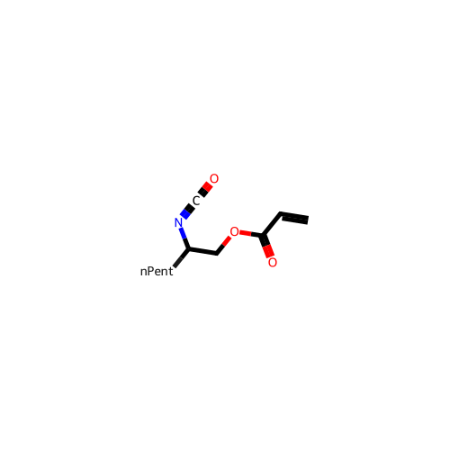 C=CC(=O)OCC(CCCCC)N=C=O